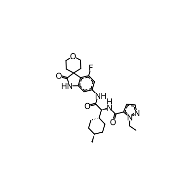 CCn1nccc1C(=O)N[C@H](C(=O)Nc1cc(F)c2c(c1)NC(=O)C21CCOCC1)[C@H]1CC[C@H](C)CC1